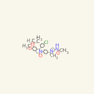 CC[C@@H](C)Oc1cc2c(cc1OC)CC(=O)N(c1ccc(C(C)N3CC[C@@H](NC(C)=O)C3)cc1)C2c1ccc(Cl)cc1